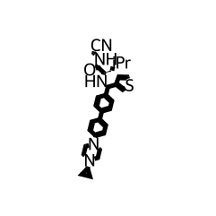 CC(C)C[C@H](N[C@@H](c1ccc(-c2ccc(N3CCN(C4CC4)CC3)cc2)cc1)c1ccsc1)C(=O)NCC#N